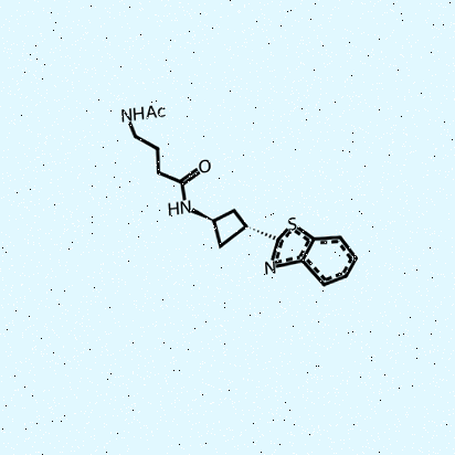 CC(=O)NCCCC(=O)N[C@H]1C[C@H](c2nc3ccccc3s2)C1